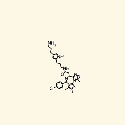 Cc1sc2c(c1C)C(c1ccc(Cl)cc1)=N[C@@H](CC(=O)NCCCc1cc(CCCN)c[nH]1)c1nnc(C)n1-2